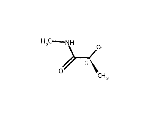 CNC(=O)[C@H](C)[O]